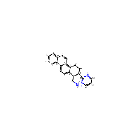 NCC1c2ccc3c(ccc4ccccc43)c2CCC1c1ncccn1